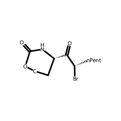 CCCCC[C@H](Br)C(=O)[C@@H]1CCOC(=O)N1